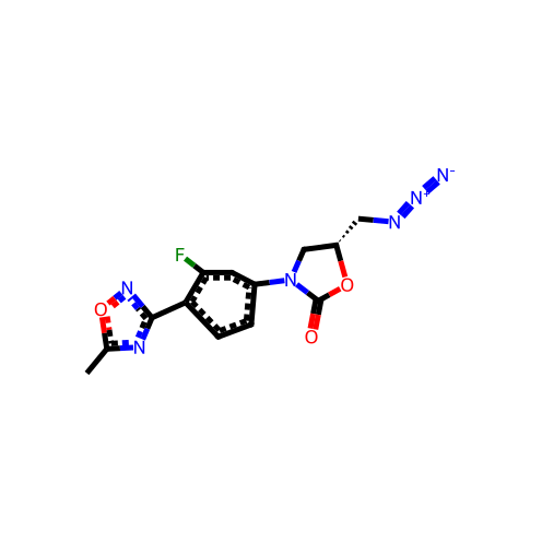 Cc1nc(-c2ccc(N3C[C@H](CN=[N+]=[N-])OC3=O)cc2F)no1